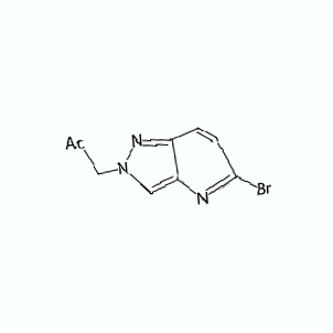 CC(=O)Cn1cc2nc(Br)ccc2n1